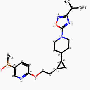 COC(C)c1noc(N2CCC([C@H]3C[C@H]3CCOc3ccc([S+](C)[O-])cn3)CC2)n1